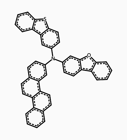 c1ccc2c(c1)ccc1c3cc(N(c4ccc5c(c4)oc4ccccc45)c4ccc5sc6ccccc6c5c4)ccc3ccc21